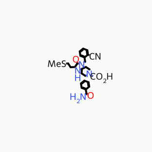 CSCCC1NC2(CCN(C(=O)O)CC2)N(Cc2ccccc2C#N)C1=O.NC(=O)c1ccccc1